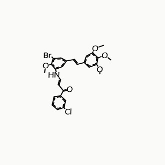 COc1cc(C=Cc2cc(Br)c(OC)c(NC=CC(=O)c3cccc(Cl)c3)c2)cc(OC)c1OC